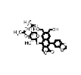 CC(=O)O[C@H]1[C@H](OC(C)=O)COC(Oc2c3c(c(-c4ccc5c(c4)OCO5)c4cc(CO)c(CO)cc24)C(=O)OC3)[C@@H]1O